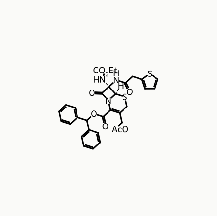 CCOC(=O)N[C@@]1(NC(=O)Cc2cccs2)C(=O)N2C(C(=O)OC(c3ccccc3)c3ccccc3)=C(COC(C)=O)CS[C@@H]21